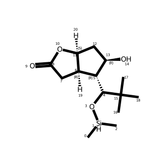 C[SiH](C)OC([C@@H]1[C@H]2CC(=O)O[C@H]2C[C@H]1O)C(C)(C)C